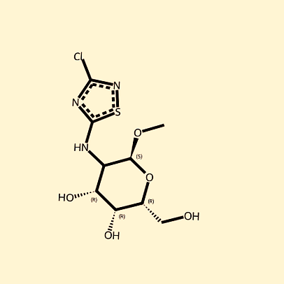 CO[C@H]1O[C@H](CO)[C@H](O)[C@H](O)C1Nc1nc(Cl)ns1